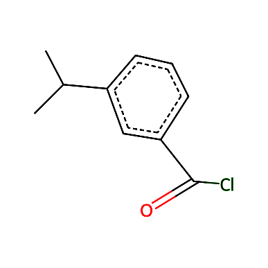 CC(C)c1cccc(C(=O)Cl)c1